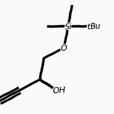 C#CC(O)CO[Si](C)(C)C(C)(C)C